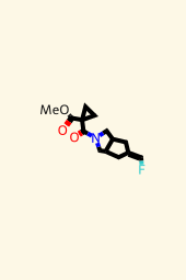 COC(=O)C1(C(=O)N2CC3CC(=CF)CC3C2)CC1